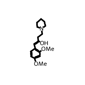 COc1ccc(C=C(O)CCN2CCCCC2)c(OC)c1